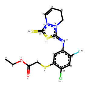 CCOC(=O)CSc1cc(N=c2sc(=S)n3n2CCC=C3)c(F)cc1Cl